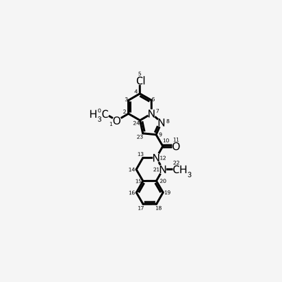 COc1cc(Cl)cn2nc(C(=O)N3CCc4ccccc4N3C)cc12